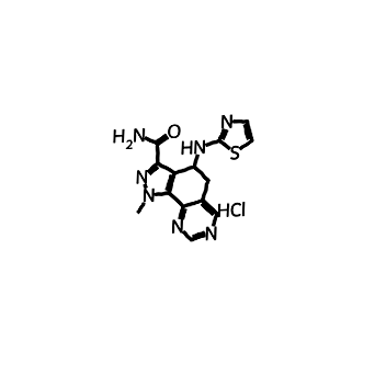 Cl.Cn1nc(C(N)=O)c2c1-c1ncncc1CC2Nc1nccs1